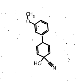 COc1cccc(C2C=CC(O)(C#N)C=C2)c1